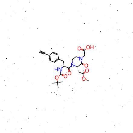 C#Cc1ccc(C[C@H](NC(=O)OC(C)(C)C)C(=O)N2CCN(CC(=O)O)C(=O)[C@@H]2CC(=O)OC)cc1